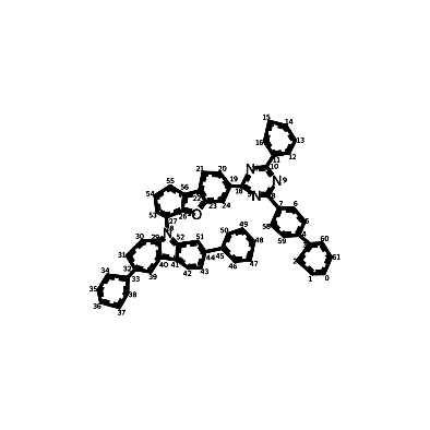 c1ccc(-c2ccc(-c3nc(-c4ccccc4)nc(-c4ccc5c(c4)oc4c(-n6c7ccc(-c8ccccc8)cc7c7ccc(-c8ccccc8)cc76)cccc45)n3)cc2)cc1